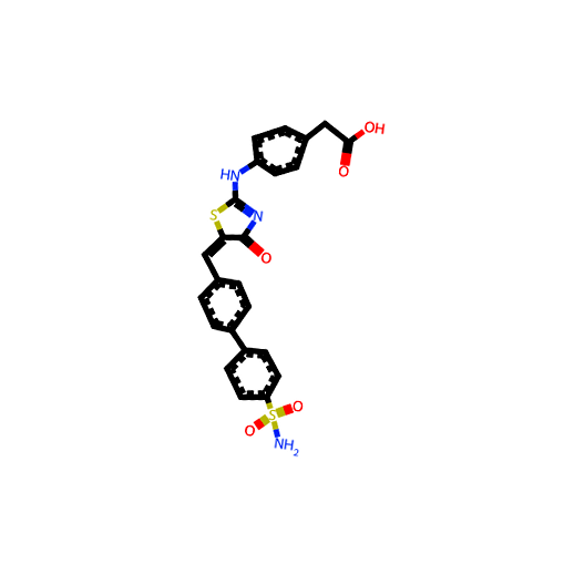 NS(=O)(=O)c1ccc(-c2ccc(C=C3SC(Nc4ccc(CC(=O)O)cc4)=NC3=O)cc2)cc1